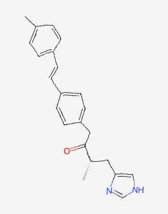 Cc1ccc(/C=C/c2ccc(CC(=O)[C@@H](C)Cc3c[nH]cn3)cc2)cc1